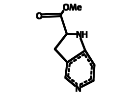 COC(=O)C1Cc2cnccc2N1